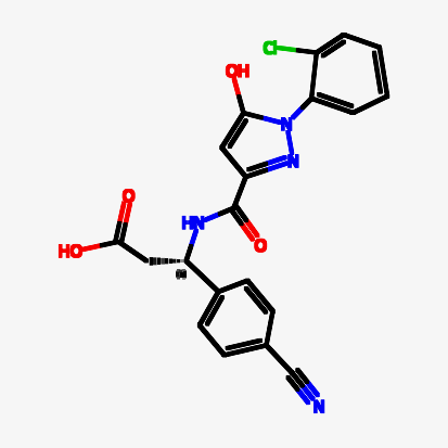 N#Cc1ccc([C@H](CC(=O)O)NC(=O)c2cc(O)n(-c3ccccc3Cl)n2)cc1